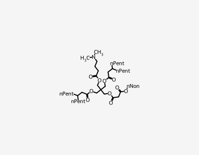 CCCCCCCCCOC(=O)CC(=O)OCC(COC(=O)CCCN(C)C)(COC(=O)CC(CCCCC)CCCCC)COC(=O)CC(CCCCC)CCCCC